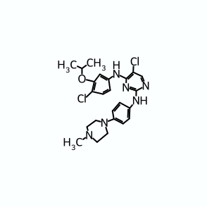 CC(C)Oc1cc(Nc2nc(Nc3ccc(N4CCN(C)CC4)cc3)ncc2Cl)ccc1Cl